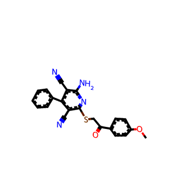 COc1ccc(C(=O)CSc2nc(N)c(C#N)c(-c3ccccc3)c2C#N)cc1